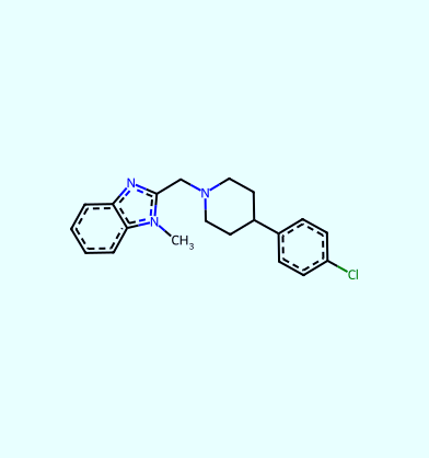 Cn1c(CN2CCC(c3ccc(Cl)cc3)CC2)nc2ccccc21